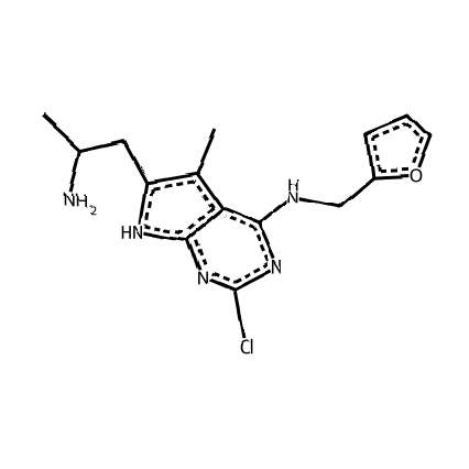 Cc1c(CC(C)N)[nH]c2nc(Cl)nc(NCc3ccco3)c12